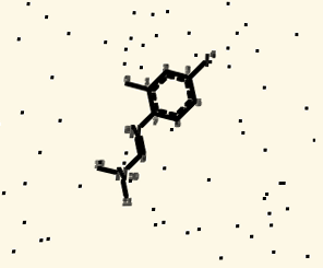 Cc1cc(I)ccc1N=CN(C)C